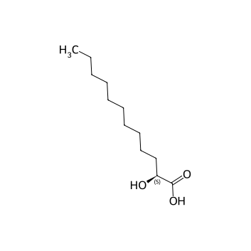 CCCCCCCCCC[C@H](O)C(=O)O